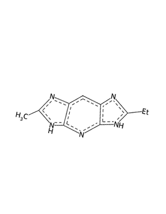 CCc1nc2cc3nc(C)[nH]c3nc2[nH]1